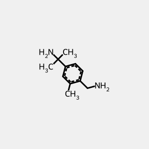 Cc1cc(C(C)(C)N)ccc1CN